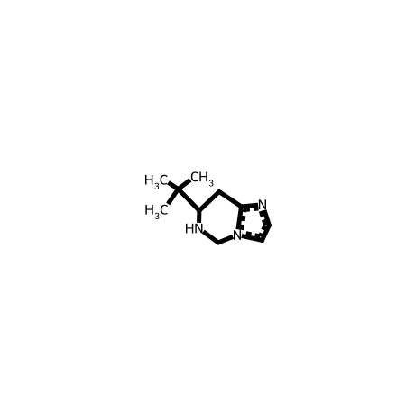 CC(C)(C)C1Cc2nccn2CN1